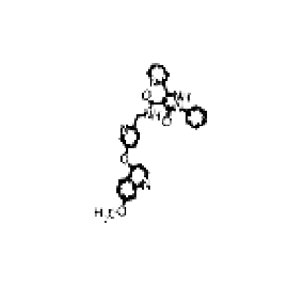 COc1ccc2c(Oc3ccc(CNC(=O)c4c(-c5ccccn5)[nH]n(-c5ccccc5)c4=O)nc3)ccnc2c1